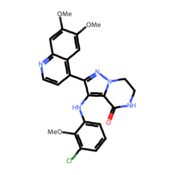 COc1cc2nccc(-c3nn4c(c3Nc3cccc(Cl)c3OC)C(=O)NCC4)c2cc1OC